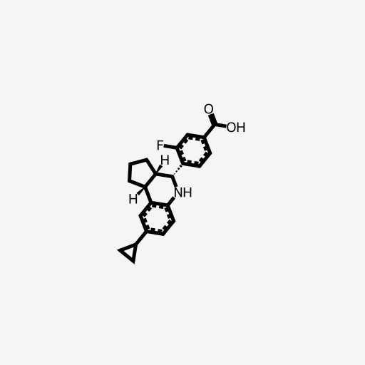 O=C(O)c1ccc([C@@H]2Nc3ccc(C4CC4)cc3[C@@H]3CCC[C@@H]32)c(F)c1